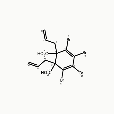 C=CCC1(C(=O)O)C(Br)=C(Br)C(Br)=C(Br)C1(CC=C)C(=O)O